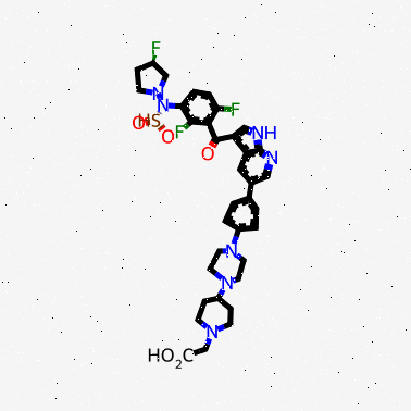 O=C(O)CN1CCC(N2CCN(c3ccc(-c4cnc5[nH]cc(C(=O)c6c(F)ccc(N(N7CC[C@@H](F)C7)[SH](=O)=O)c6F)c5c4)cc3)CC2)CC1